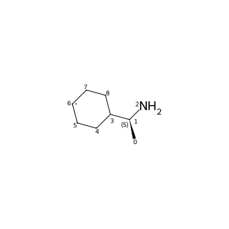 C[C@H](N)C1CC[CH]CC1